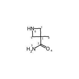 CC1(C(N)=O)CNC1